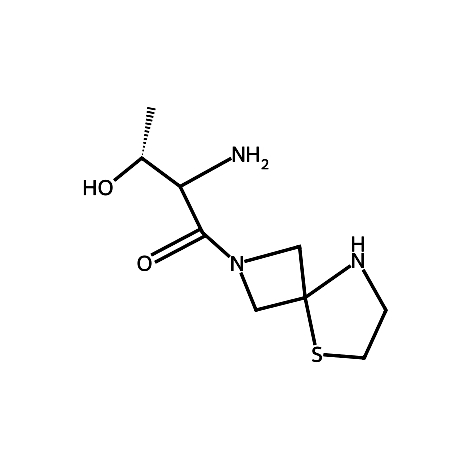 C[C@@H](O)C(N)C(=O)N1CC2(C1)NCCS2